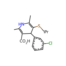 CC1=C(SC(C)C)C(c2cccc(Cl)c2)C(C(=O)O)=C(C)N1